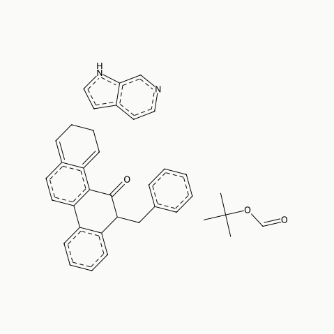 CC(C)(C)OC=O.O=C1c2c(ccc3c2=CCCC=3)-c2ccccc2C1Cc1ccccc1.c1cc2cc[nH]c2cn1